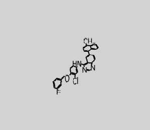 Cc1ccc(-c2ccc3ncnc(Nc4ccc(OCc5cccc(F)c5)c(Cl)c4)c3c2)c2ccccc12